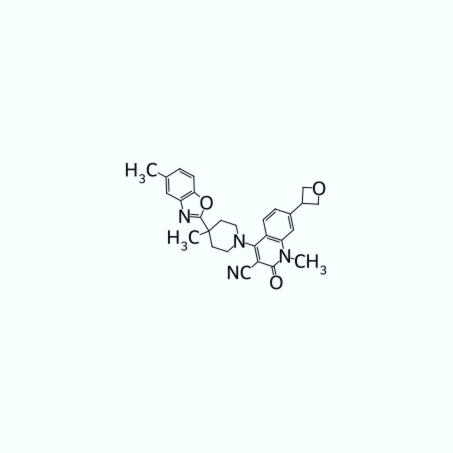 Cc1ccc2oc(C3(C)CCN(c4c(C#N)c(=O)n(C)c5cc(C6COC6)ccc45)CC3)nc2c1